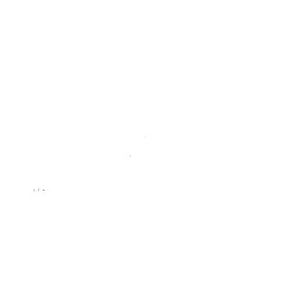 COc1ccc2c3oc(=O)c(Sc4ccccc4Br)c(O)c3c(=O)n(Cc3ccccc3F)c2c1